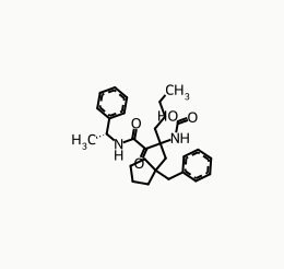 CCCCC(CC1(Cc2ccccc2)CCCC1)(NC(=O)O)C(=O)C(=O)N[C@H](C)c1ccccc1